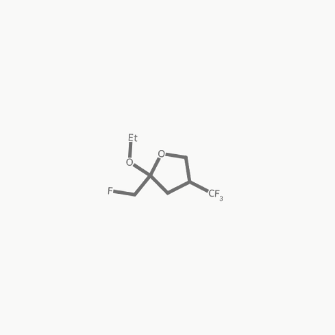 CCOC1(CF)CC(C(F)(F)F)CO1